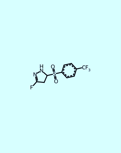 O=S(=O)(c1ccc(C(F)(F)F)cc1)C1CC(F)=NN1